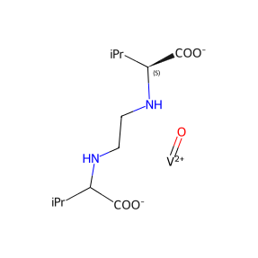 CC(C)C(NCCN[C@H](C(=O)[O-])C(C)C)C(=O)[O-].[O]=[V+2]